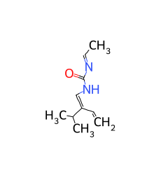 C=C/C(=C\NC(=O)/N=C/C)C(C)C